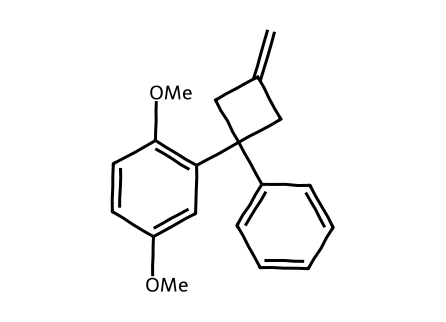 C=C1CC(c2ccccc2)(c2cc(OC)ccc2OC)C1